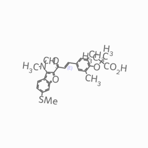 CSc1ccc2c(N(C)C)c(C(=O)/C=C/c3cc(C)c(OC(C)(C)C(=O)O)c(C)c3)oc2c1